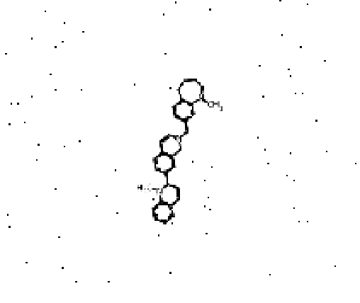 CN1CCCCc2ccc(CN3C=Cc4ccc(C5C=Cc6ccccc6N5C)cc4C3)cc21